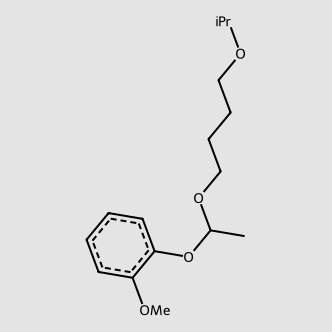 COc1ccccc1OC(C)OCCCCOC(C)C